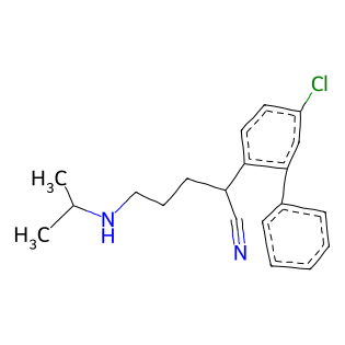 CC(C)NCCCC(C#N)c1ccc(Cl)cc1-c1ccccc1